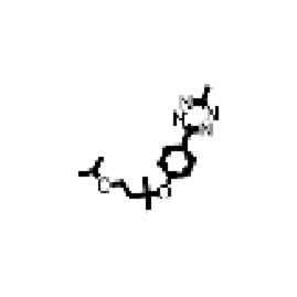 Cc1nnc(-c2ccc(OC(C)(C)CCOC(C)C)cc2)nn1